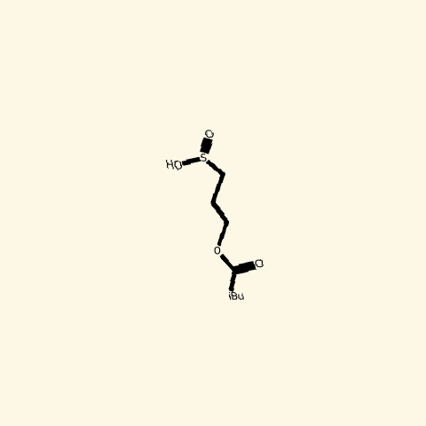 CCC(C)C(=O)OCCCS(=O)O